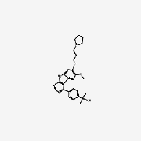 COc1cc2c(cc1OCCCN1CCCC1)[nH]c1ccnc(-c3ccc(C(C)(C)O)cc3)c12